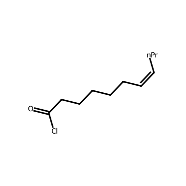 CCC/C=C\CCCCCC(=O)Cl